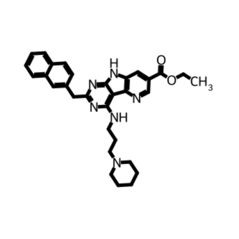 CCOC(=O)c1cnc2c(c1)[nH]c1nc(Cc3ccc4ccccc4c3)nc(NCCCN3CCCCC3)c12